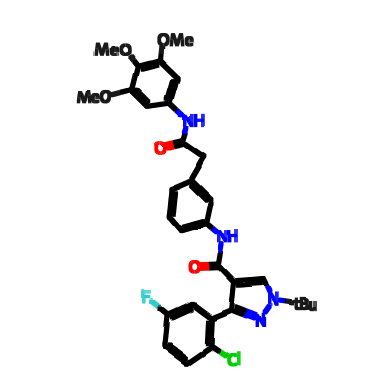 COc1cc(NC(=O)Cc2cccc(NC(=O)c3cn(C(C)(C)C)nc3-c3cc(F)ccc3Cl)c2)cc(OC)c1OC